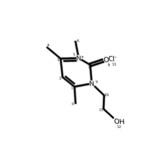 Cc1cc(C)[n+](C)c(=O)n1CCO.[Cl-]